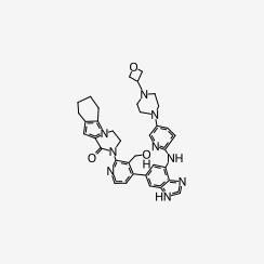 O=C1c2cc3c(n2CCN1c1nccc(-c2cc(Nc4ccc(N5CCN(C6COC6)CC5)cn4)c4nc[nH]c4c2)c1CO)CCCC3